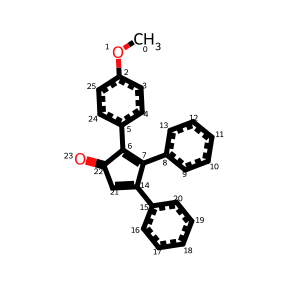 COc1ccc(C2=C(c3ccccc3)C(c3ccccc3)=CC2=O)cc1